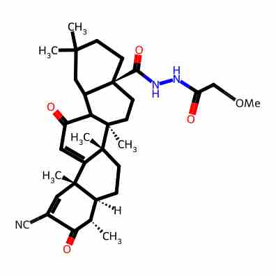 COCC(=O)NNC(=O)[C@]12CCC(C)(C)CC1C1C(=O)C=C3[C@@]4(C)C=C(C#N)C(=O)[C@@H](C)[C@@H]4CC[C@@]3(C)[C@]1(C)CC2